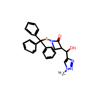 Cn1cc(C(O)C2CN(SC(c3ccccc3)(c3ccccc3)c3ccccc3)C2=O)nn1